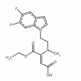 CCOC(=O)/C(=C/C(=O)O)N(C)CCn1ccc2cc(F)c(F)cc21